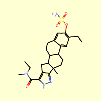 CCc1cc2c(cc1OS(N)(=O)=O)CCC1C2CCC2(C)c3n[nH]c(C(=O)N(C)CC)c3CC12